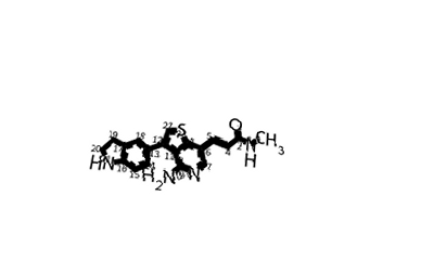 CNC(=O)/C=C/c1cnc(N)c2c(-c3ccc4c(c3)CCN4)csc12